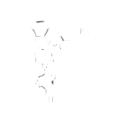 CC(C)(C)OC(=O)N[C@@H]1c2ccccc2OC12CCN(c1cnc(S)cn1)CC2